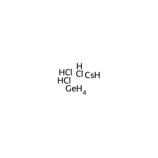 Cl.Cl.Cl.[CsH].[GeH4]